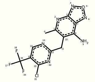 Cc1nc2nonc2c(N)c1Cc1ncc(C(F)(F)F)c(Cl)n1